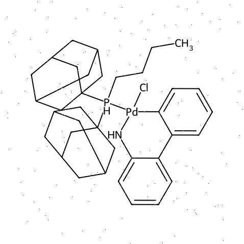 CCCC[PH](C12CC3CC(CC(C3)C1)C2)(C12CC3CC(CC(C3)C1)C2)[Pd]1([Cl])[NH]c2ccccc2-c2cccc[c]21